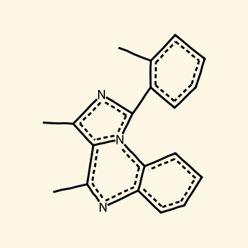 Cc1ccccc1-c1nc(C)c2c(C)nc3ccccc3n12